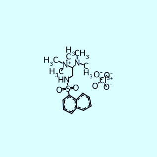 CN(C)C(CNS(=O)(=O)c1cccc2ccccc12)[N+](C)(C)C.[O-][Cl+3]([O-])([O-])[O-]